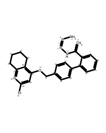 C=C(N/N=N\N)c1ccccc1-c1ccc(COc2cc(CC)nc3c2CCCC3)cc1